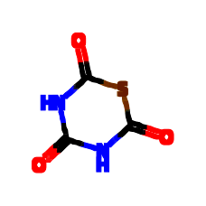 O=c1[nH]c(=O)sc(=O)[nH]1